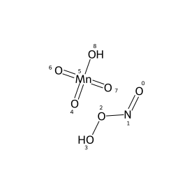 O=NOO.[O]=[Mn](=[O])(=[O])[OH]